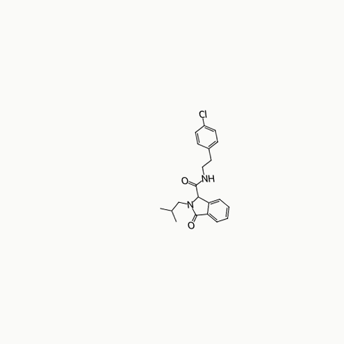 CC(C)CN1C(=O)c2ccccc2C1C(=O)NCCc1ccc(Cl)cc1